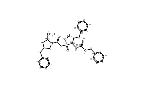 CCOP(=O)(CC(=O)N1CC(Cc2ccccc2)C[C@H]1C(=O)O)[C@@H](CCc1ccccc1)NC(=O)OCc1ccccc1